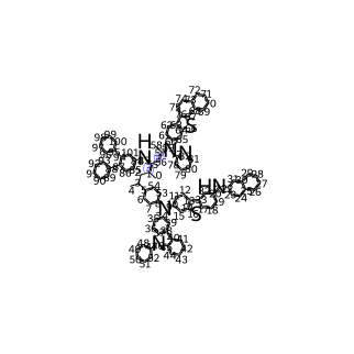 C/C(CC(C)c1ccc(N(c2ccc3c(c2)sc2ccc(Nc4ccc5ccccc5c4)cc23)c2ccc3c(c2)c2ccccc2n3-c2ccccc2)cc1)=C(\C=C(/C)N(c1ccc2c(c1)sc1c3ccccc3ccc21)c1ccccn1)Nc1ccc(-c2ccccc2)c(-c2ccccc2)c1